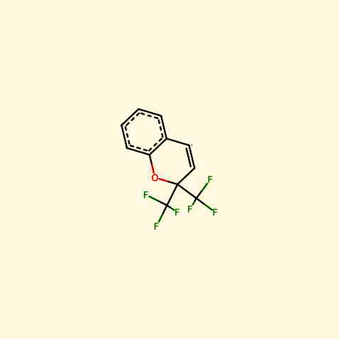 FC(F)(F)C1(C(F)(F)F)C=[C]c2ccccc2O1